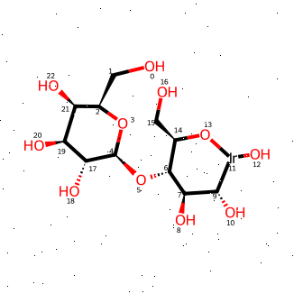 OC[C@H]1O[C@@H](O[C@H]2[C@H](O)[C@@H](O)[Ir]([OH])[O][C@@H]2CO)[C@H](O)[C@@H](O)[C@H]1O